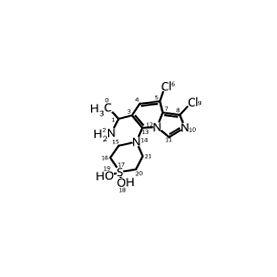 CC(N)c1cc(Cl)c2c(Cl)ncn2c1N1CCS(O)(O)CC1